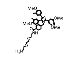 C#C/C(=C\C(=C/COC)c1nc(-c2ccc(OC)c(C)c2)c(-c2ccc(OC)c(C)c2)n1CC1=CC=C(C(=O)NCCOCCOCCN)CC1)OC